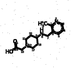 Cc1ncccc1CNC1CCN(CC(=O)O)CC1